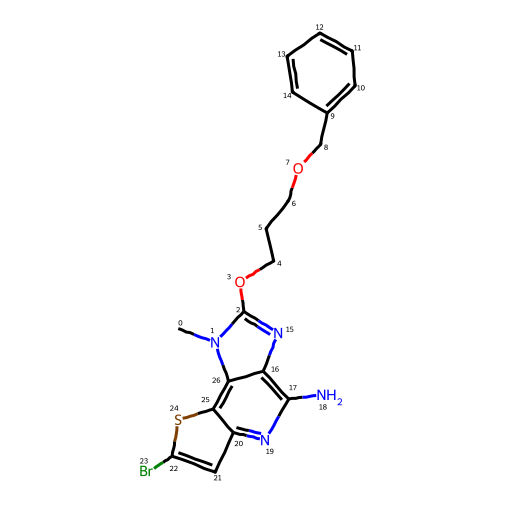 Cn1c(OCCCOCc2ccccc2)nc2c(N)nc3cc(Br)sc3c21